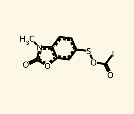 Cn1c(=O)oc2cc(SOC(=O)I)ccc21